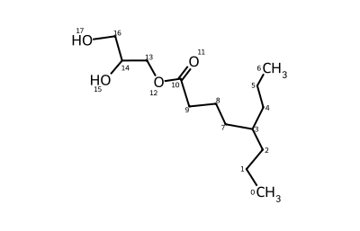 CCCC(CCC)CCCC(=O)OCC(O)CO